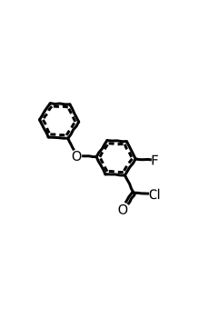 O=C(Cl)c1cc(Oc2ccccc2)ccc1F